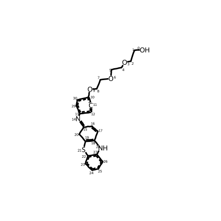 OCCOCCOCCOc1ccc(N=C2C=CC3=C(C2)Sc2ccccc2N3)cc1